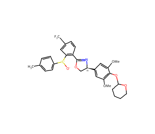 COc1cc([C@H]2COC(c3ccc(C(F)(F)F)cc3[S+]([O-])c3ccc(C)cc3)=N2)cc(OC)c1OC1CCCCO1